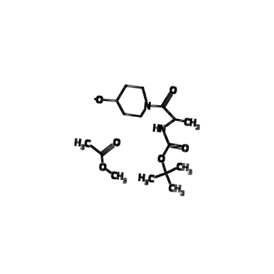 CC(NC(=O)OC(C)(C)C)C(=O)N1CCC([O])CC1.COC(C)=O